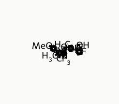 COc1ccc(-c2nc3c(C(=O)N4CCN([C@H](CO)c5cccc(F)c5F)C[C@H]4C)cnn3c(C(F)(F)F)c2C)cc1